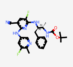 Cc1ncc(Nc2nc(N[C@H](Cc3ccccc3)[C@H](C)NC(=O)OC(C)(C)C)c(F)cc2C#N)cc1F